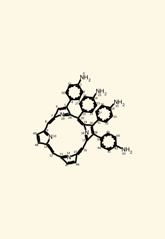 Nc1ccc(C2=CC3=CC4=NC(=CC5=NC(=CC6=NC(=C(c7ccc(N)cc7)C2=N3)C(c2ccc(N)cc2)=C6c2ccc(N)cc2)C=C5)C=C4)cc1